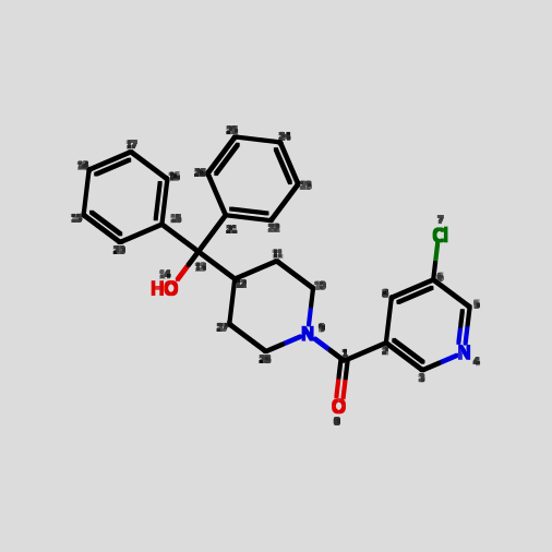 O=C(c1cncc(Cl)c1)N1CCC(C(O)(c2ccccc2)c2ccccc2)CC1